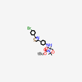 CC(C)(C)OC(=O)N1C(C)(C)OC[C@@]1(C)C(=O)Nc1ccc(-c2csc(-c3ccc(Br)cc3)n2)cc1